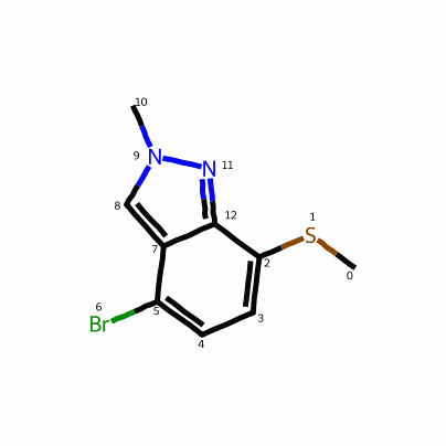 CSc1ccc(Br)c2cn(C)nc12